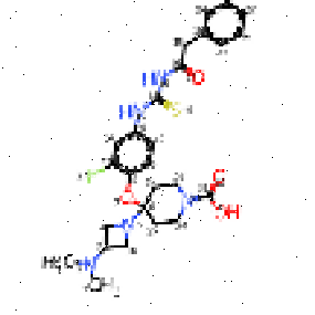 CN(C)C1CN(C2(Oc3ccc(NC(=S)NC(=O)Cc4ccccc4)cc3F)CCN(C(=O)O)CC2)C1